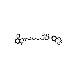 CC1(C)OCc2cc([C@@H]3CN(CCCCCOCCOCc4c(Cl)cccc4Cl)C(=O)O3)ccc2O1